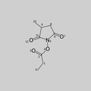 CCC(=O)ON1C(=O)CC(C)C1=O